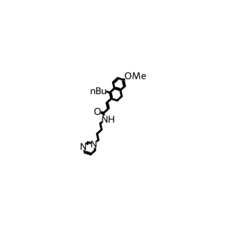 CCCCC1=C(/C=C/C(=O)NCCCCN2C=NC=CC2)CCc2cc(OC)ccc21